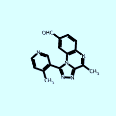 Cc1ccncc1-c1nnc2c(C)nc3ccc(C=O)cc3n12